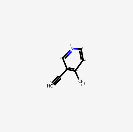 C#Cc1cnccc1C(F)(F)F